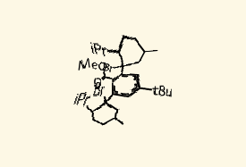 COC(=O)c1c(C2(Br)CC(C)CCC2C(C)C)cc(C(C)(C)C)cc1C1(Br)CC(C)CCC1C(C)C